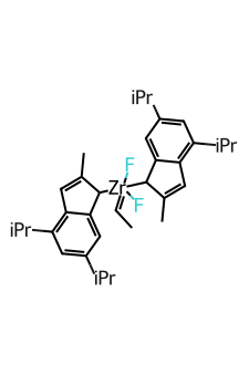 C[CH]=[Zr]([F])([F])([CH]1C(C)=Cc2c(C(C)C)cc(C(C)C)cc21)[CH]1C(C)=Cc2c(C(C)C)cc(C(C)C)cc21